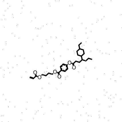 C=CC(=O)OCCCCOC(=O)c1ccc(OC(=O)CCC(CCC)C2CCC(CC)CC2)cc1